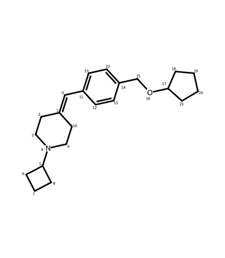 C(=C1CCN(C2CCC2)CC1)c1ccc(COC2CCCC2)cc1